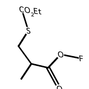 CCOC(=O)SCC(C)C(=O)OF